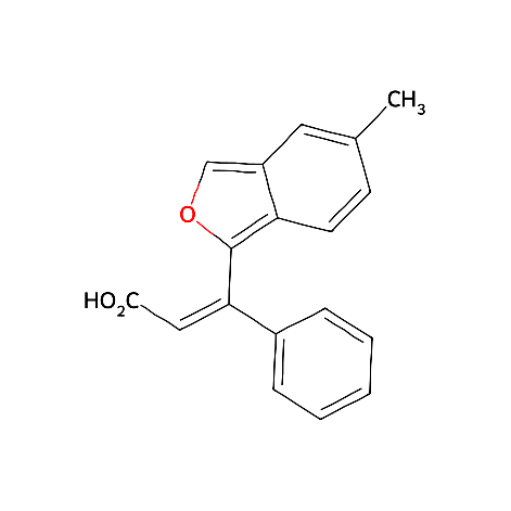 Cc1ccc2c(/C(=C\C(=O)O)c3ccccc3)occ2c1